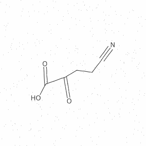 N#CCCC(=O)C(=O)O